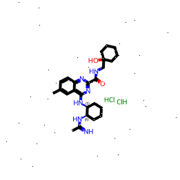 CC(=N)N[C@@H]1CCCC[C@@H]1Nc1nc(C(=O)NCC2(O)CCCCC2)nc2ccc(C)cc12.Cl.Cl